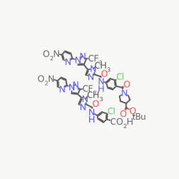 Cn1c(-c2cn(-c3ccc([N+](=O)[O-])cn3)nc2C(F)(F)F)cnc1C(=O)Nc1ccc(C(=O)N2CCC(C(=O)OC(C)(C)C)CC2)c(Cl)c1.Cn1c(-c2cn(-c3ccc([N+](=O)[O-])cn3)nc2C(F)(F)F)cnc1C(=O)Nc1ccc(C(=O)O)c(Cl)c1